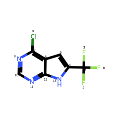 FC(F)(F)c1cc2c(Cl)ncnc2[nH]1